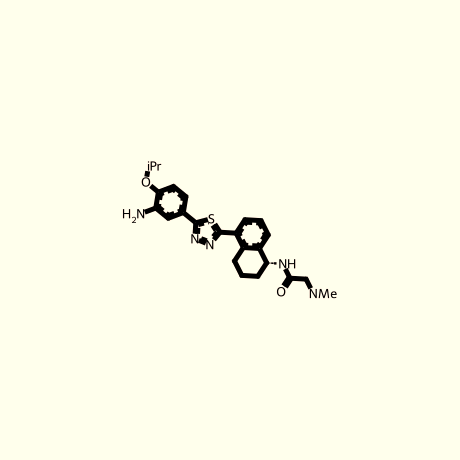 CNCC(=O)N[C@@H]1CCCc2c(-c3nnc(-c4ccc(OC(C)C)c(N)c4)s3)cccc21